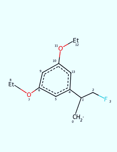 [CH2]C(CF)c1cc(OCC)cc(OCC)c1